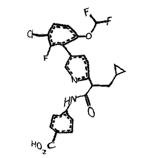 O=C(O)c1ccc(NC(=O)C(CC2CC2)c2ccc(-c3c(OC(F)F)ccc(Cl)c3F)cn2)cc1